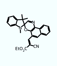 CCOC(=O)C(C#N)=Cc1cc2ccccc2c2c1OC1(C=N2)N(C)c2ccccc2C1(C)C